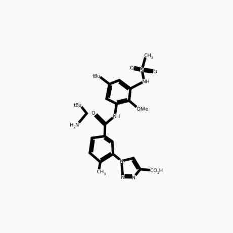 CC(C)(C)CN.COc1c(NC(=O)c2ccc(C)c(-n3cc(C(=O)O)nn3)c2)cc(C(C)(C)C)cc1NS(C)(=O)=O